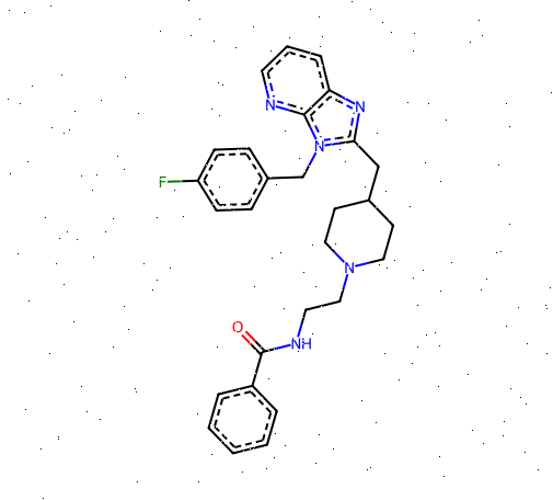 O=C(NCCN1CCC(Cc2nc3cccnc3n2Cc2ccc(F)cc2)CC1)c1ccccc1